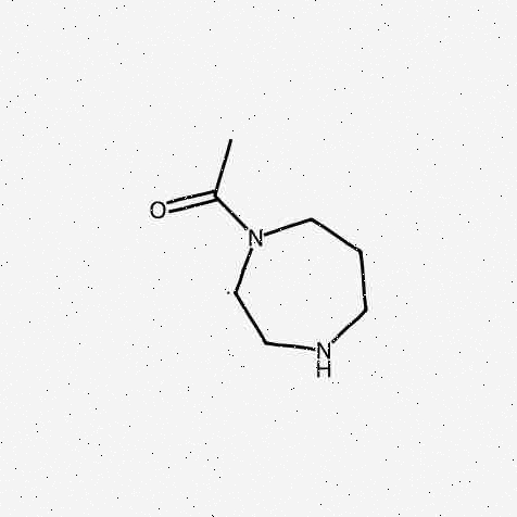 CC(=O)N1[CH]CNCCC1